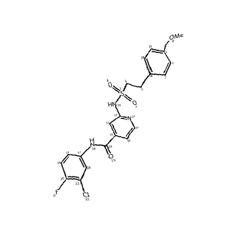 COc1ccc(CCS(=O)(=O)Nc2cc(C(=O)Nc3ccc(F)c(Cl)c3)ccn2)cc1